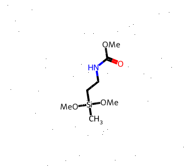 COC(=O)NCC[Si](C)(OC)OC